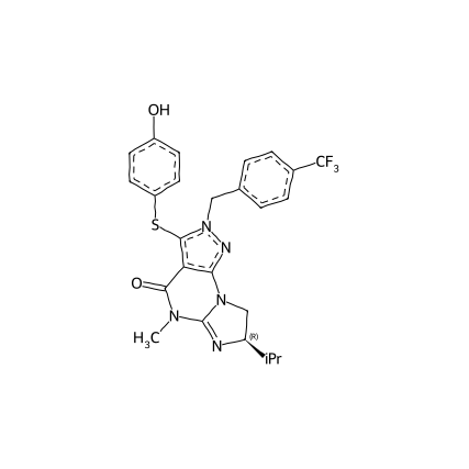 CC(C)[C@@H]1CN2C(=N1)N(C)C(=O)c1c2nn(Cc2ccc(C(F)(F)F)cc2)c1Sc1ccc(O)cc1